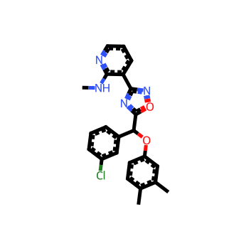 CNc1ncccc1-c1noc(C(Oc2ccc(C)c(C)c2)c2cccc(Cl)c2)n1